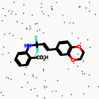 O=C(O)c1ccccc1NC(F)(F)/C=C/c1ccc2c(c1)OCCO2